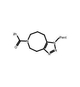 CCCC(C)n1nnc2c1CCCN(C(=O)C(C)C)CC2